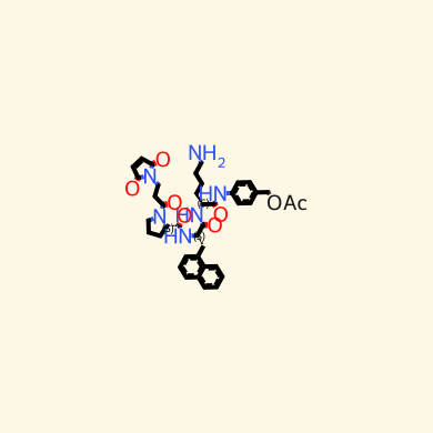 CC(=O)OCc1ccc(NC(=O)[C@H](CCCCN)NC(=O)[C@H](Cc2cccc3ccccc23)NC(=O)[C@@H]2CCCN2C(=O)CCN2C(=O)C=CC2=O)cc1